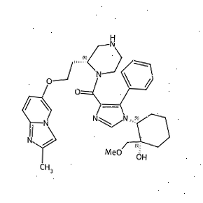 COC[C@]1(O)CCCC[C@H]1n1cnc(C(=O)N2CCNC[C@H]2CCOc2ccc3nc(C)cn3c2)c1-c1ccccc1